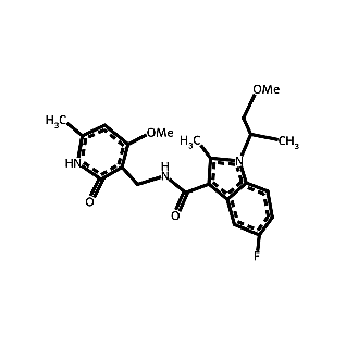 COCC(C)n1c(C)c(C(=O)NCc2c(OC)cc(C)[nH]c2=O)c2cc(F)ccc21